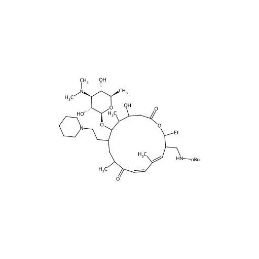 CCCCNCC1/C=C(C)/C=C\C(=O)C(C)CC(CCN2CCCCC2)C(O[C@@H]2O[C@H](C)[C@@H](O)[C@H](N(C)C)[C@H]2O)C(C)C(O)CC(=O)OC1CC